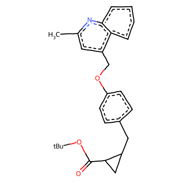 Cc1cc(COc2ccc(CC3CC3C(=O)OC(C)(C)C)cc2)c2ccccc2n1